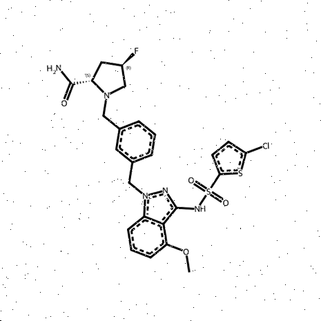 COc1cccc2c1c(NS(=O)(=O)c1ccc(Cl)s1)nn2Cc1cccc(CN2C[C@H](F)C[C@H]2C(N)=O)c1